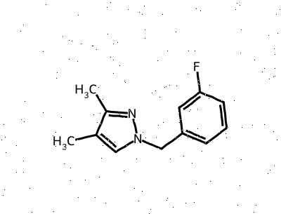 Cc1cn(Cc2cccc(F)c2)nc1C